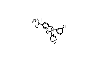 NNC(=O)c1ccc(CN(C(=O)N2CCSCC2)c2cccc(Cl)c2)nc1